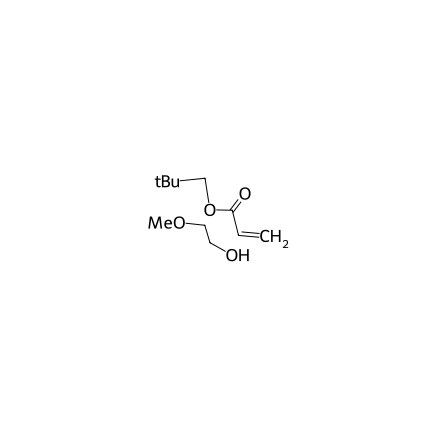 C=CC(=O)OCC(C)(C)C.COCCO